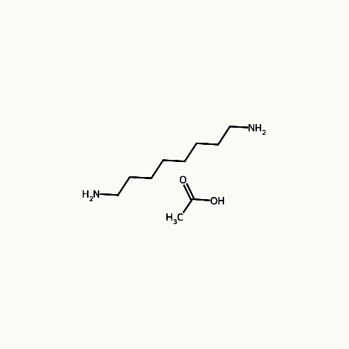 CC(=O)O.NCCCCCCCCN